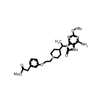 CCCCOc1nc(N)c2[nH]c(=O)n(C(C)C3CCN(CCOc4cccc(CC(=O)OC)c4)CC3)c2n1